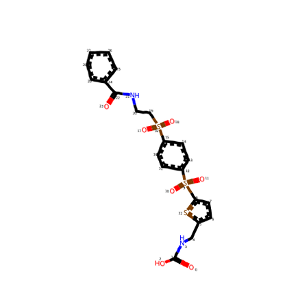 O=C(O)NCc1ccc(S(=O)(=O)c2ccc(S(=O)(=O)CCNC(=O)c3ccccc3)cc2)s1